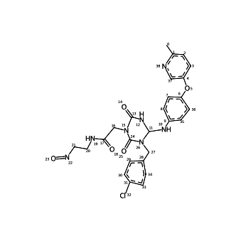 Cc1ccc(Oc2ccc(NC3NC(=O)N(CC(=O)NCCN=O)C(=O)N3Cc3ccc(Cl)cc3)cc2)cn1